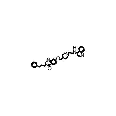 O=c1c2ccc(OCC3CCN(CCNc4ccnc5ccccc45)CC3)cc2ncn1CCCc1ccccc1